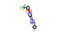 O=S(=O)(c1cccc(C(F)(F)CF)c1)N1CCC2(CC1)CN(c1nc(Cc3ccc(F)cc3)ns1)C2